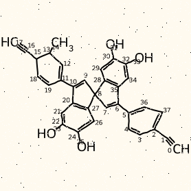 C#Cc1ccc(C2=CC3(C=C(C4=CC(C)C(C#C)C=C4)c4cc(O)c(O)cc43)c3cc(O)c(O)cc32)cc1